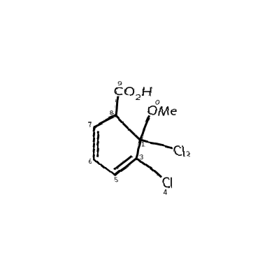 COC1(Cl)C(Cl)=CC=CC1C(=O)O